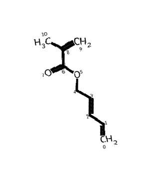 C=C/C=C/COC(=O)C(=C)C